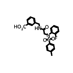 Cc1ccc(S(=O)(=O)N(CC(=O)NCc2cccc(C(=O)O)c2)c2ccccc2F)cc1